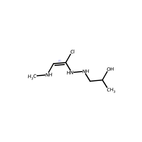 CN/C=C(/Cl)NNCC(C)O